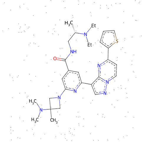 CCN(CC)[C@@H](C)CNC(=O)c1cc(-c2cnn3ccc(-c4cccs4)nc23)nc(N2CC(C)(N(C)C)C2)c1